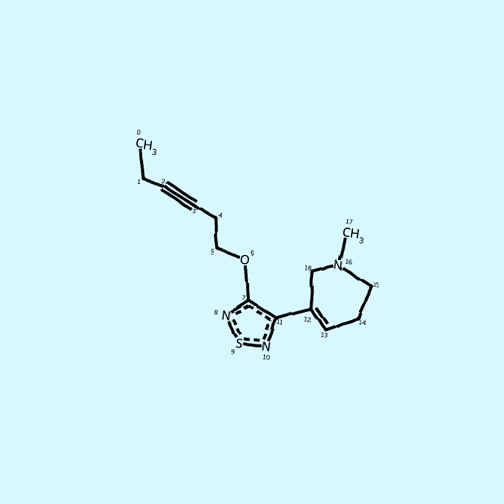 CCC#CCCOc1nsnc1C1=CCCN(C)C1